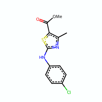 COC(=O)c1sc(Nc2ccc(Cl)cc2)nc1C